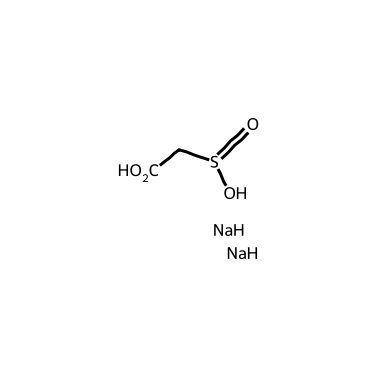 O=C(O)CS(=O)O.[NaH].[NaH]